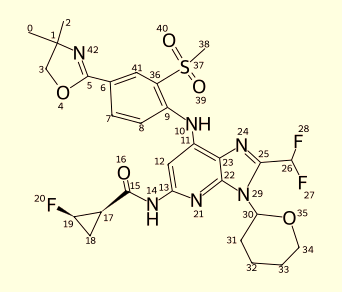 CC1(C)COC(c2ccc(Nc3cc(NC(=O)[C@H]4C[C@H]4F)nc4c3nc(C(F)F)n4C3CCCCO3)c(S(C)(=O)=O)c2)=N1